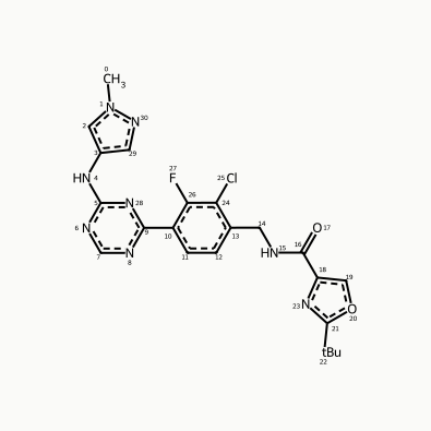 Cn1cc(Nc2ncnc(-c3ccc(CNC(=O)c4coc(C(C)(C)C)n4)c(Cl)c3F)n2)cn1